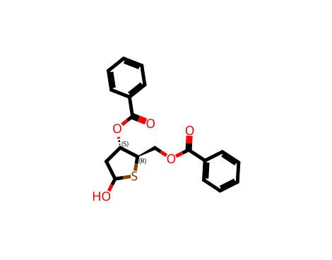 O=C(OC[C@H]1SC(O)C[C@@H]1OC(=O)c1ccccc1)c1ccccc1